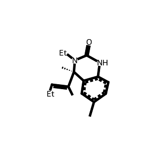 CC/C=C(\C)[C@]1(C)c2cc(C)ccc2NC(=O)N1CC